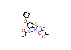 CCC(=O)Nc1cc(Oc2ccccc2)cc2sc(NC(=O)CC(C)=O)nc12